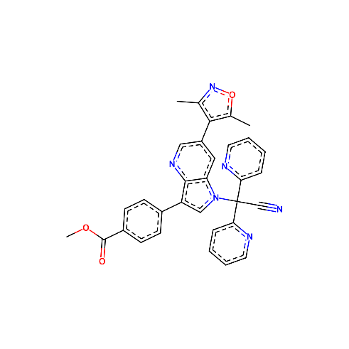 COC(=O)c1ccc(-c2cn(C(C#N)(c3ccccn3)c3ccccn3)c3cc(-c4c(C)noc4C)cnc23)cc1